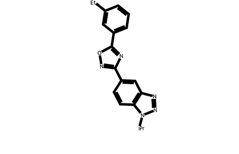 CCc1cccc(-c2nc(-c3ccc4c(c3)nnn4C(C)C)no2)c1